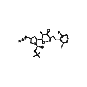 CO[C@@H](C1CC(N=[N+]=[N-])CN1C(=O)OC(C)(C)C)[C@@H](C)C(=O)NCCc1c(F)cccc1F